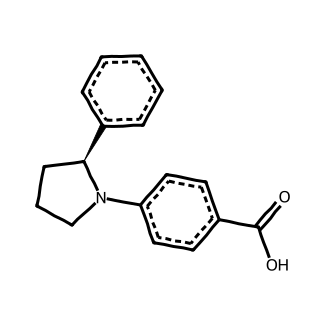 O=C(O)c1ccc(N2CCC[C@H]2c2ccccc2)cc1